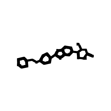 CCC1CC(=O)NN=C1c1ccc2nc(-c3ccc(OCc4ccncc4)cc3)oc2c1